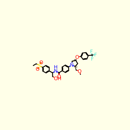 CCS(=O)(=O)c1ccc(C(CO)NC(=O)c2ccc(N3C[C@H](Oc4ccc(C(F)(F)F)cc4)C[C@H]3COC)cc2)cc1